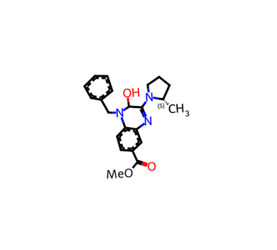 COC(=O)c1ccc2c(c1)N=C(N1CCC[C@@H]1C)C(O)N2Cc1ccccc1